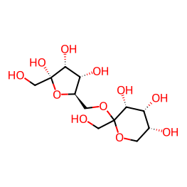 OCC1(OC[C@H]2O[C@@](O)(CO)[C@H](O)[C@@H]2O)OC[C@@H](O)[C@@H](O)[C@H]1O